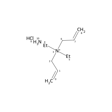 C=CC[N+](CC)(CC)CC=C.Cl.N